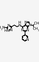 CC(C)n1cnc2c(NCCc3n[nH]c(N)n3)nc(-c3cccnc3)nc21